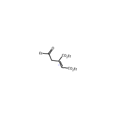 CCOC(=O)/C=C(/CC(=O)CC)C(=O)OCC